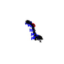 C=C(NCCCNCCCNCCCNC(=O)c1nc2ccccc2[nH]1)c1nc2ccccc2[nH]1